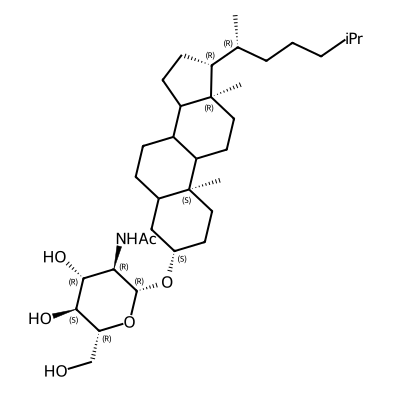 CC(=O)N[C@H]1[C@H](O[C@H]2CC[C@@]3(C)C(CCC4C3CC[C@@]3(C)C4CC[C@@H]3[C@H](C)CCCC(C)C)C2)O[C@H](CO)[C@@H](O)[C@@H]1O